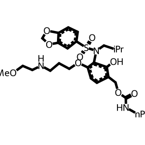 CCCNC(=O)OCc1ccc(OCCCNCCOC)c(N(CC(C)C)S(=O)(=O)c2ccc3c(c2)OCO3)c1O